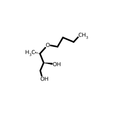 CCCCO[C@@H](C)[C@@H](O)CO